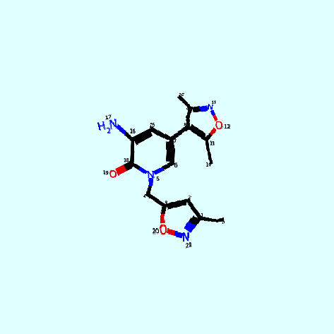 Cc1cc(Cn2cc(-c3c(C)noc3C)cc(N)c2=O)on1